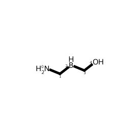 NCBCO